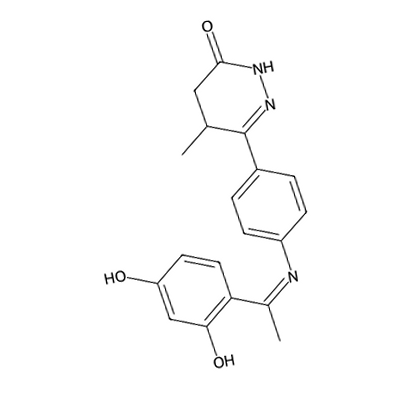 CC(=Nc1ccc(C2=NNC(=O)CC2C)cc1)c1ccc(O)cc1O